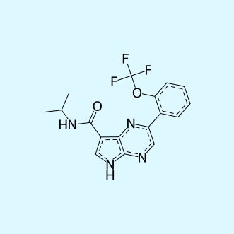 CC(C)NC(=O)c1c[nH]c2ncc(-c3ccccc3OC(F)(F)F)nc12